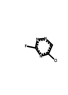 Fc1nncc(Cl)n1